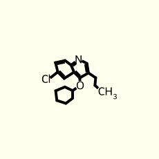 CCCc1cnc2ccc(Cl)cc2c1OC1CCCCC1